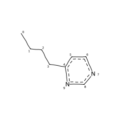 CCCCc1ccncn1